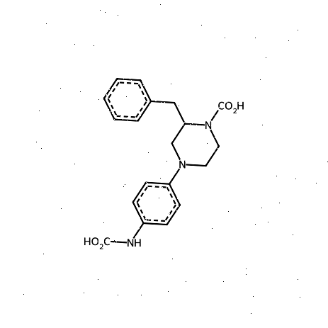 O=C(O)Nc1ccc(N2CCN(C(=O)O)C(Cc3ccccc3)C2)cc1